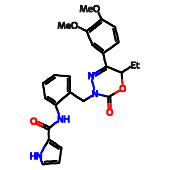 CCC1OC(=O)N(Cc2ccccc2NC(=O)c2ccc[nH]2)N=C1c1ccc(OC)c(OC)c1